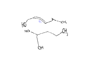 CC/C=C/O.CCCC(O)O